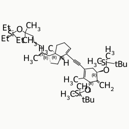 C=C1[C@H](O[Si](C)(C)C(C)(C)C)C(C)=C(C#CC2=CCC[C@]3(C)[C@@H]([C@@H](C)CCCC(C)(C)O[Si](CC)(CC)CC)CC[C@@H]23)C[C@H]1O[Si](C)(C)C(C)(C)C